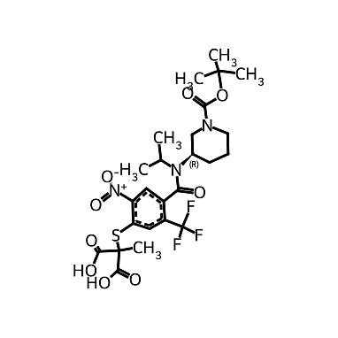 CC(C)N(C(=O)c1cc([N+](=O)[O-])c(SC(C)(C(=O)O)C(=O)O)cc1C(F)(F)F)[C@@H]1CCCN(C(=O)OC(C)(C)C)C1